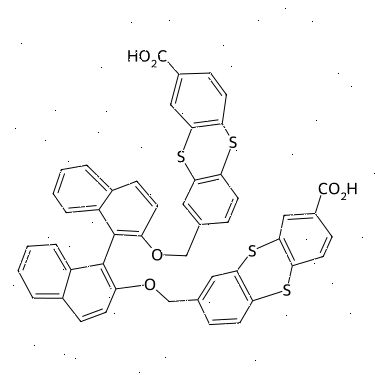 O=C(O)c1ccc2c(c1)Sc1cc(COc3ccc4ccccc4c3-c3c(OCc4ccc5c(c4)Sc4cc(C(=O)O)ccc4S5)ccc4ccccc34)ccc1S2